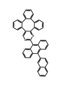 c1ccc2c(c1)-c1ccccc1-c1cnc(-c3c4ccccc4c(-c4ccc5ccccc5c4)c4ccccc34)nc1-c1ccccc1-2